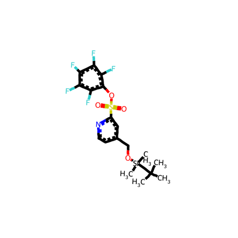 CC(C)(C)[Si](C)(C)OCc1ccnc(S(=O)(=O)Oc2c(F)c(F)c(F)c(F)c2F)c1